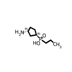 CCCP(=O)(O)[C@@H]1CC[C@@H](N)C1